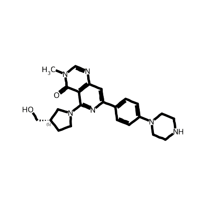 Cn1cnc2cc(-c3ccc(N4CCNCC4)cc3)nc(N3CC[C@H](CO)C3)c2c1=O